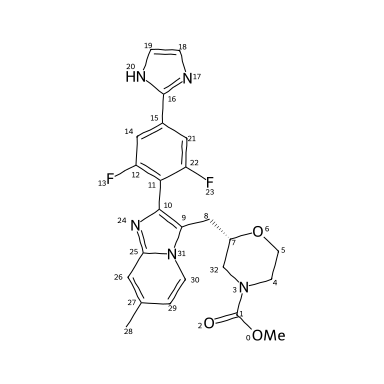 COC(=O)N1CCO[C@@H](Cc2c(-c3c(F)cc(-c4ncc[nH]4)cc3F)nc3cc(C)ccn23)C1